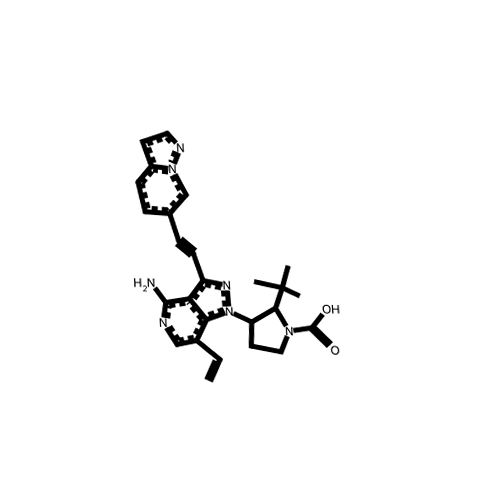 C=Cc1cnc(N)c2c(C#Cc3ccc4ccnn4c3)nn(C3CCN(C(=O)O)C3C(C)(C)C)c12